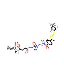 CCC(CCC(=O)CCC(=O)NCCNC(=O)c1ccc(C(C)SSc2ccc([N+](=O)[O-])cn2)cc1)OC(CC)OC